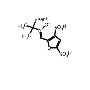 CCCCCC(C)(C)[N+]([O-])=Cc1oc(S(=O)(=O)O)cc1S(=O)(=O)O